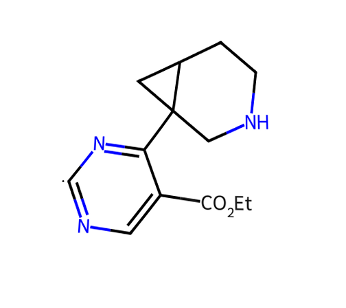 CCOC(=O)c1cn[c]nc1C12CNCCC1C2